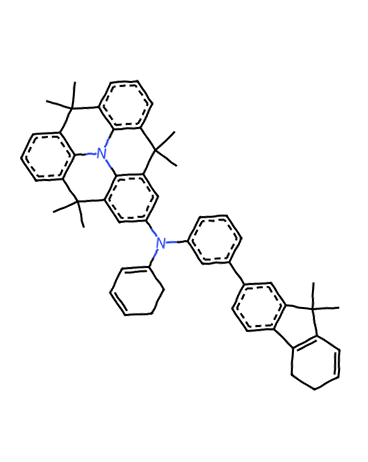 CC1(C)C2=C(CCC=C2)c2ccc(-c3cccc(N(C4=CC=CCC4)c4cc5c6c(c4)C(C)(C)c4cccc7c4N6c4c(cccc4C5(C)C)C7(C)C)c3)cc21